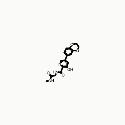 CNC(=O)CNC(=O)c1ncc(-c2ccc3c(c2)OCCO3)cc1O